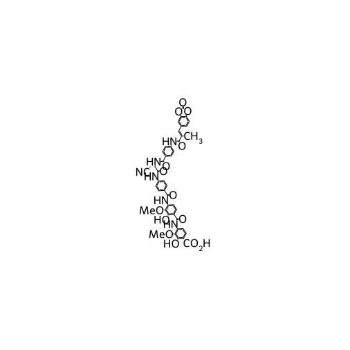 COc1c(NC(=O)c2ccc(NC(=O)c3ccc(NC(=O)[C@H](CC#N)NC(=O)c4ccc(NC(=O)/C(C)=C/c5ccc6oc(=O)oc6c5)cc4)cc3)c(OC)c2O)ccc(C(=O)O)c1O